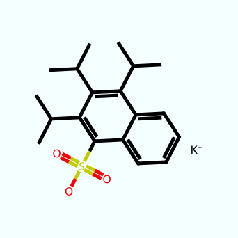 CC(C)c1c(C(C)C)c(S(=O)(=O)[O-])c2ccccc2c1C(C)C.[K+]